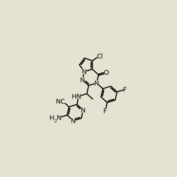 CC(Nc1ncnc(N)c1C#N)c1nn2ccc(Cl)c2c(=O)n1-c1cc(F)cc(F)c1